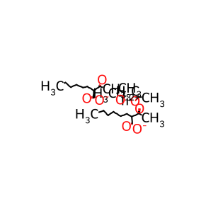 CC(C)[O][Ti+2][O]C(C)C.CCCCCCC(C(C)=O)C(=O)[O-].CCCCCCC(C(C)=O)C(=O)[O-]